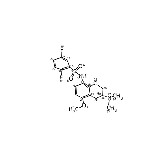 COc1ccc(NS(=O)(=O)c2cc(F)ccc2F)c2c1C[C@@H](N(C)C)CO2